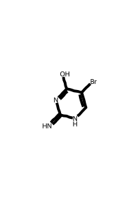 N=c1nc(O)c(Br)c[nH]1